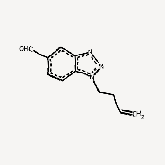 C=CCCn1nnc2cc(C=O)ccc21